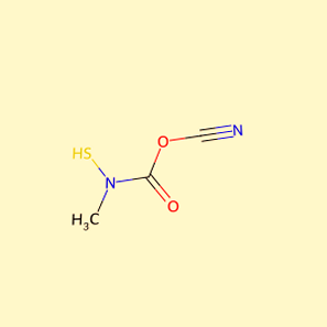 CN(S)C(=O)OC#N